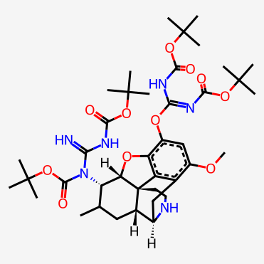 COc1cc(OC(=NC(=O)OC(C)(C)C)NC(=O)OC(C)(C)C)c2c3c1C[C@H]1NCC[C@]34[C@H]1CC(C)[C@H](N(C(=N)NC(=O)OC(C)(C)C)C(=O)OC(C)(C)C)[C@@H]4O2